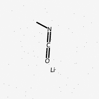 CN=C=O.[Li]